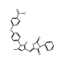 Cc1cc(C=C2SC(=O)N(c3ccccc3)C2=O)c(C)n1-c1ccc(Sc2ccc([N+](=O)[O-])cc2)cc1